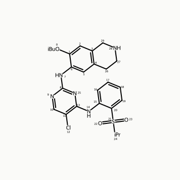 CC(C)COc1cc2c(cc1Nc1ncc(Cl)c(Nc3ccccc3S(=O)(=O)C(C)C)n1)CCNC2